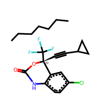 CCCCCCC.O=C1Nc2ccc(Cl)cc2[C@@](C#CC2CC2)(C(F)(F)F)O1